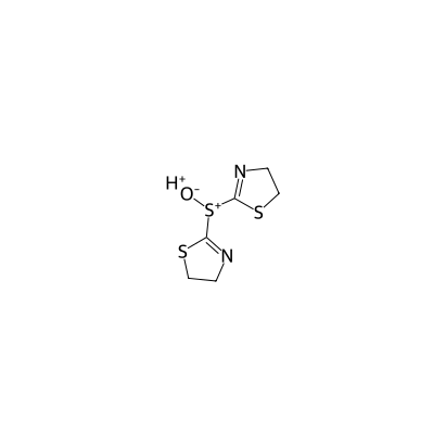 [H+].[O-][S+](C1=NCCS1)C1=NCCS1